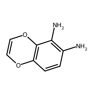 Nc1ccc2c(c1N)OC=CO2